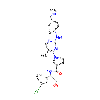 CNCc1ccc(Nc2ncc(C)c(-n3ccc(C(=O)NC(CO)c4cccc(Cl)c4)c3)n2)cc1